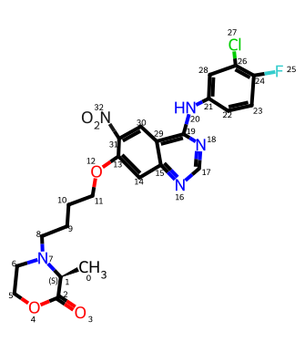 C[C@H]1C(=O)OCCN1CCCCOc1cc2ncnc(Nc3ccc(F)c(Cl)c3)c2cc1[N+](=O)[O-]